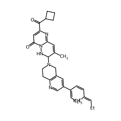 C\C=C(/C=C\C(C)=C\CC)c1cnc2c(c1)CN(C1Nn3c(nc(C(=O)C4CCC4)cc3=O)C=C1C)CC2